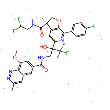 COc1cc(C(=O)NCC(O)(c2cc3c(c(-c4ccc(F)cc4)n2)OC[C@]3(C)C(=O)NCC(F)F)C(F)(F)F)cc2cc(C)nnc12